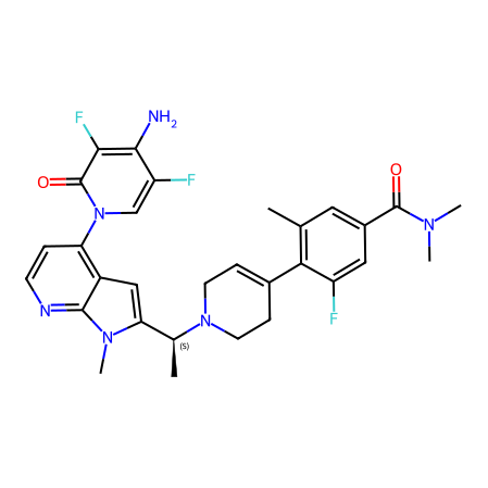 Cc1cc(C(=O)N(C)C)cc(F)c1C1=CCN([C@@H](C)c2cc3c(-n4cc(F)c(N)c(F)c4=O)ccnc3n2C)CC1